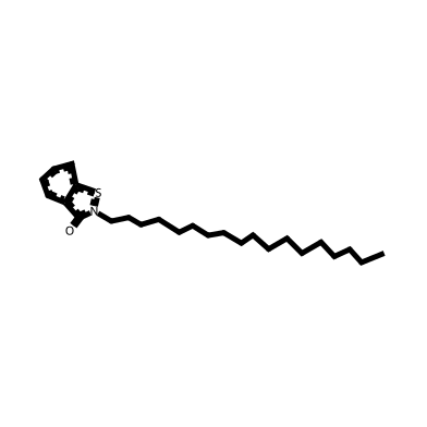 CCCCCCCCCCCCCCCCCCn1sc2ccccc2c1=O